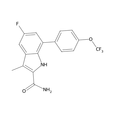 Cc1c(C(N)=O)[nH]c2c(-c3ccc(OC(F)(F)F)cc3)cc(F)cc12